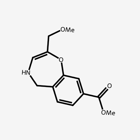 COCC1=CNCc2ccc(C(=O)OC)cc2O1